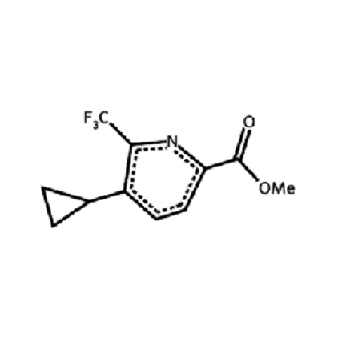 COC(=O)c1ccc(C2CC2)c(C(F)(F)F)n1